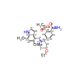 CCOC1CCN(Cc2c(OC)cc(C)c3[nH]ccc23)C(c2ccc(C(N)=O)c(S(C)(=O)=O)c2)C1